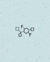 O=C(c1cc(F)c(Cl)cc1F)C1CCC1